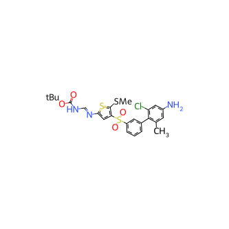 CSc1sc(/N=C/NC(=O)OC(C)(C)C)cc1S(=O)(=O)c1cccc(-c2c(C)cc(N)cc2Cl)c1